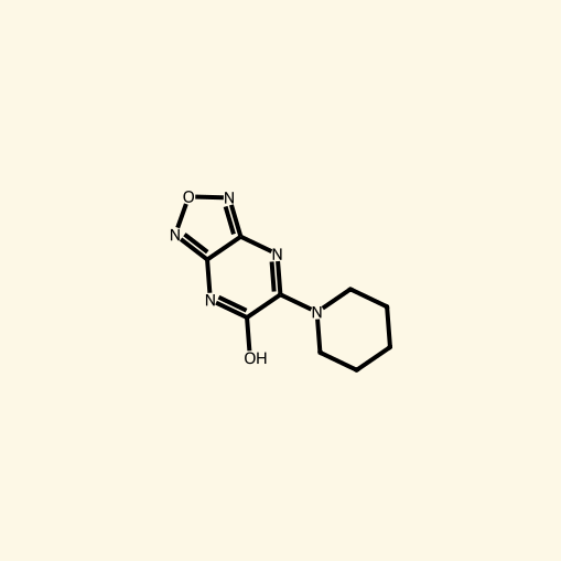 Oc1nc2nonc2nc1N1CCCCC1